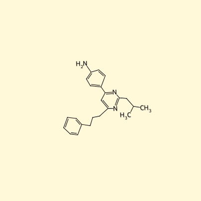 CC(C)Cc1nc(CCCc2ccccc2)cc(-c2ccc(N)cc2)n1